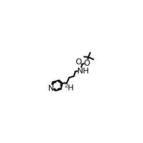 [2H]C(CCCNC(=O)OC(C)(C)C)c1ccncc1